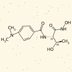 C[C@@H](O)[C@H](NC(=O)c1ccc(N(C)C)cc1)C(=O)NO